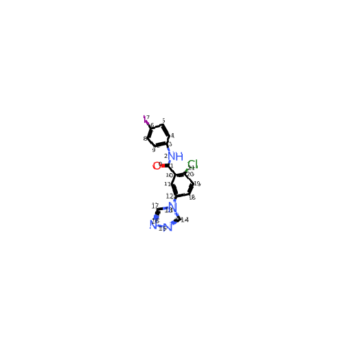 O=C(Nc1ccc(I)cc1)c1cc(-n2cnnc2)ccc1Cl